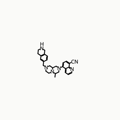 CC1CN(c2ccc(C#N)c3ncccc23)CC2CN(Cc3ccc4c(c3)CCNC4)CCN12